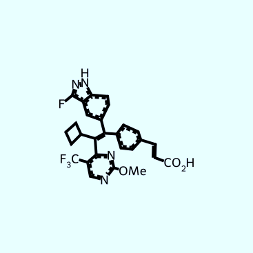 COc1ncc(C(F)(F)F)c(C(=C(c2ccc(C=CC(=O)O)cc2)c2ccc3[nH]nc(F)c3c2)C2CCC2)n1